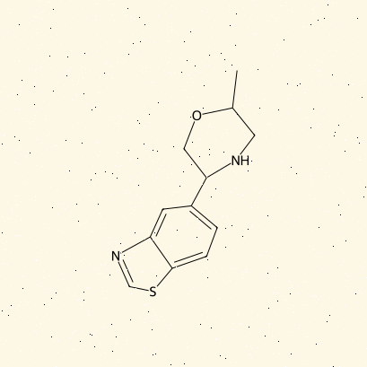 CC1CNC(c2ccc3scnc3c2)CO1